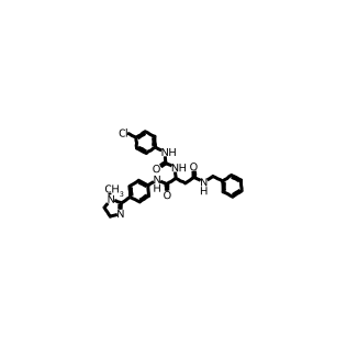 CN1CCN=C1c1ccc(NC(=O)C(CC(=O)NCc2ccccc2)NC(=O)Nc2ccc(Cl)cc2)cc1